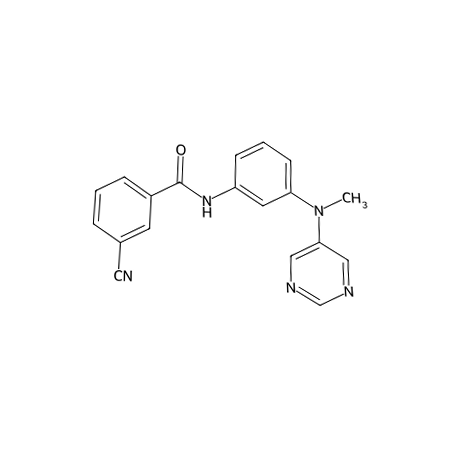 CN(c1cncnc1)c1cccc(NC(=O)c2cccc(C#N)c2)c1